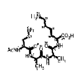 CCCSCC(NC(C)=O)C(=O)NC(C)C(=O)NC(C)C(=O)NC(CCCCN)C(=O)O